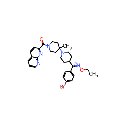 CCO/N=C(\c1ccc(Br)cc1)C1CCN(C2(C)CCN(C(=O)c3ccc4cccnc4n3)CC2)CC1